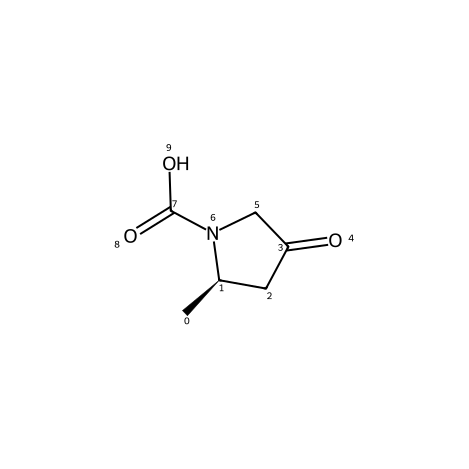 C[C@@H]1CC(=O)CN1C(=O)O